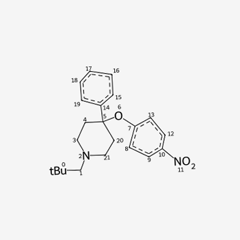 CC(C)(C)CN1CCC(Oc2ccc([N+](=O)[O-])cc2)(c2ccccc2)CC1